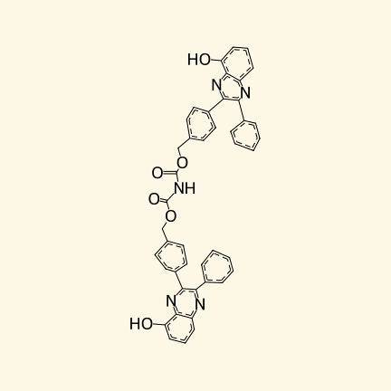 O=C(NC(=O)OCc1ccc(-c2nc3c(O)cccc3nc2-c2ccccc2)cc1)OCc1ccc(-c2nc3c(O)cccc3nc2-c2ccccc2)cc1